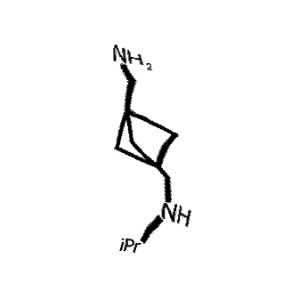 CC(C)NC12CC(N)(C1)C2